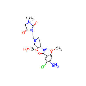 COc1cc(N)c(Cl)cc1C(=O)NC1CCN(CCN2C(=O)CN(C)C2=O)CC1OC.O